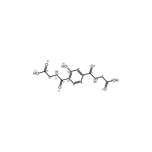 O=C(O)CNC(=O)c1ccc(C(=O)NCC(=O)O)c(O)c1